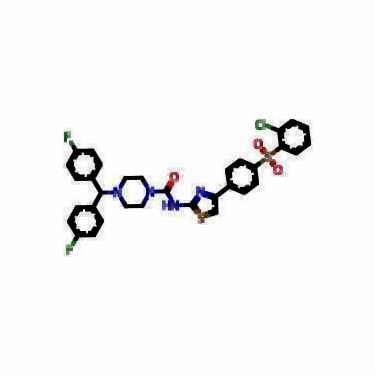 O=C(Nc1nc(-c2ccc(S(=O)(=O)c3ccccc3Cl)cc2)cs1)N1CCN(C(c2ccc(F)cc2)c2ccc(F)cc2)CC1